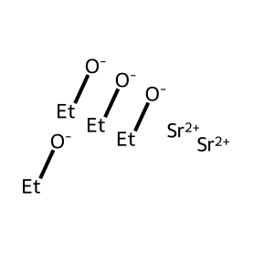 CC[O-].CC[O-].CC[O-].CC[O-].[Sr+2].[Sr+2]